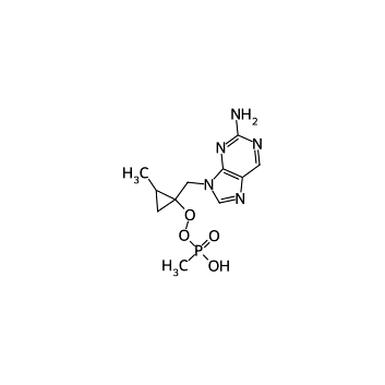 CC1CC1(Cn1cnc2cnc(N)nc21)OOP(C)(=O)O